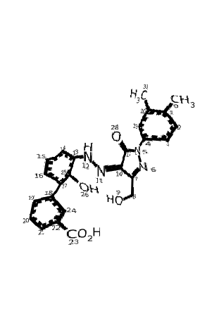 Cc1ccc(N2N=C(CO)C(=NNc3cccc(-c4cccc(C(=O)O)c4)c3O)C2=O)cc1C